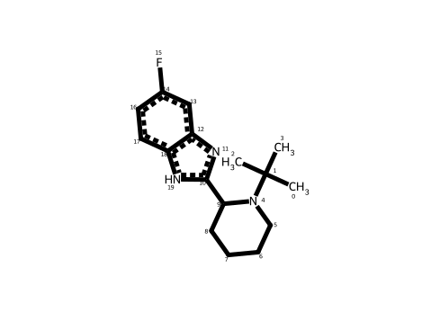 CC(C)(C)N1CCCCC1c1nc2cc(F)ccc2[nH]1